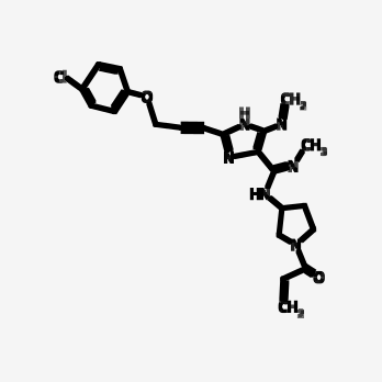 C=CC(=O)N1CCC(N/C(=N/C)c2nc(C#CCOc3ccc(Cl)cc3)[nH]c2N=C)C1